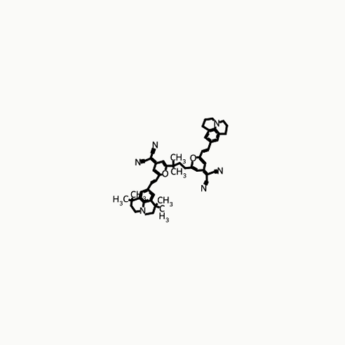 CC(C)(CCC1=CC(=C(C#N)C#N)C=C(/C=C/c2cc3c4c(c2)CCCN4CCC3)O1)C1=CC(=C(C#N)C#N)C=C(/C=C/c2cc3c4c(c2)C(C)(C)CCN4CCC3(C)C)O1